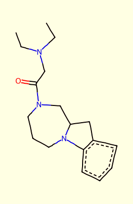 CCN(CC)CC(=O)N1CCCN2c3ccccc3CC2C1